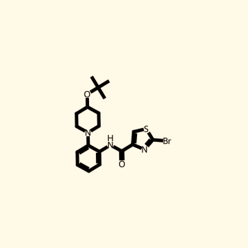 CC(C)(C)OC1CCN(c2ccccc2NC(=O)c2csc(Br)n2)CC1